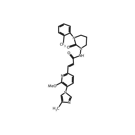 COc1nc(/C=C/C(=O)NN2CCCN(c3ccccc3C(F)(F)F)C2=O)ccc1-n1cnc(C)c1